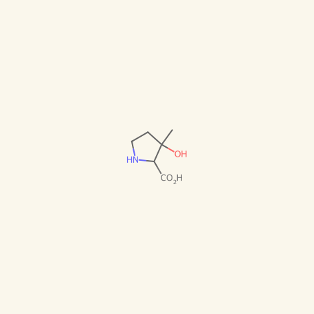 CC1(O)CCNC1C(=O)O